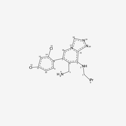 CC(C)CNc1c(CN)c(-c2ccc(Cl)cc2Cl)cn2cnnc12